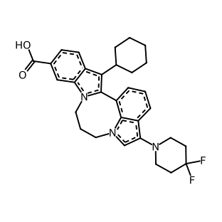 O=C(O)c1ccc2c(C3CCCCC3)c3n(c2c1)CCCn1cc(N2CCC(F)(F)CC2)c2cccc-3c21